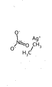 CC.O=[N+]([O-])[O-].[Ag+]